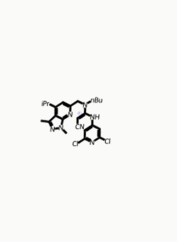 CCCCN(Cc1cc(C(C)C)c2c(C)nn(C)c2n1)/C(=C/C#N)Nc1cc(Cl)nc(Cl)c1